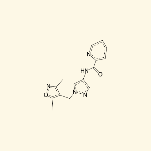 Cc1noc(C)c1Cn1cc(NC(=O)c2ccccn2)cn1